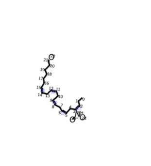 CC/C=C(\C/C=C\C/C=C\C/C=C\C/C=C\CCCCC[C]=O)[N+](=O)[O-]